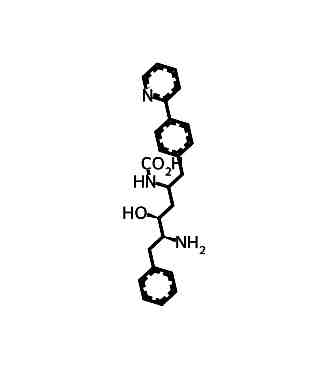 N[C@@H](Cc1ccccc1)[C@@H](O)CC(Cc1ccc(-c2ccccn2)cc1)NC(=O)O